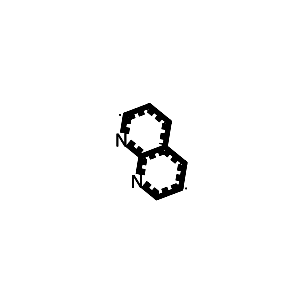 [c]1cnc2n[c]ccc2c1